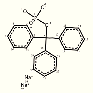 O=P([O-])([O-])OC(c1ccccc1)(c1ccccc1)c1ccccc1.[Na+].[Na+]